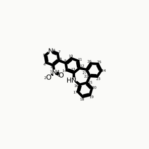 O=[N+]([O-])c1ccncc1-c1ccc2c(c1)Nc1ccccc1-c1ccccc1-2